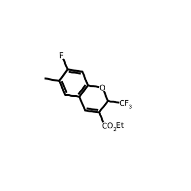 CCOC(=O)C1=Cc2cc(C)c(F)cc2OC1C(F)(F)F